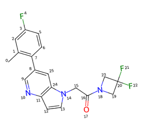 Cc1cc(F)ccc1-c1cnc2ccn(CC(=O)N3CC(F)(F)C3)c2c1